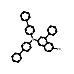 Cc1ccc2cc(N(c3ccc(-c4ccccc4)cc3)c3ccc(-c4ccccc4)cc3)cc(-c3ccccc3)c2c1